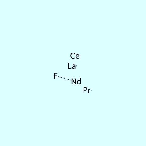 [Ce].[F][Nd].[La].[Pr]